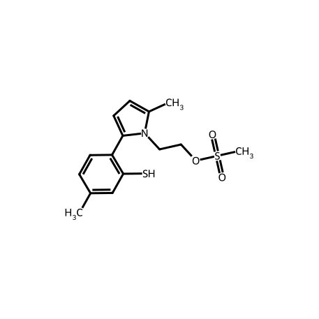 Cc1ccc(-c2ccc(C)n2CCOS(C)(=O)=O)c(S)c1